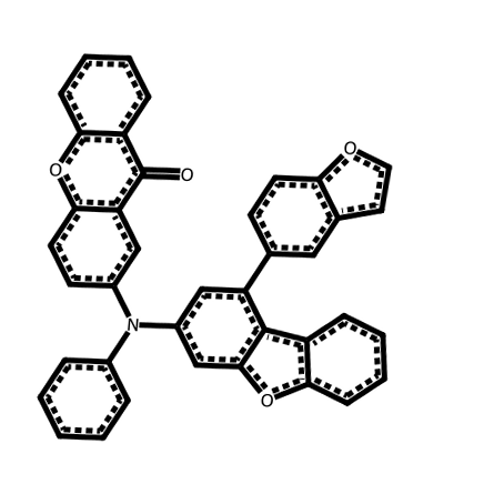 O=c1c2ccccc2oc2ccc(N(c3ccccc3)c3cc(-c4ccc5occc5c4)c4c(c3)oc3ccccc34)cc12